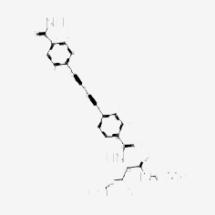 CONC(=O)[C@@H](NC(=O)c1ccc(C#CC#Cc2ccc(C(N)=O)cc2)cc1)[C@@H](C)OC(C)(C)C